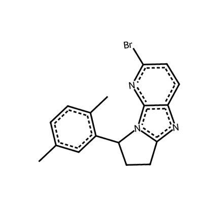 Cc1ccc(C)c(C2CCc3nc4ccc(Br)nc4n32)c1